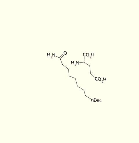 CCCCCCCCCCCCCCCCCC(N)=O.NC(CCC(=O)O)C(=O)O